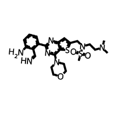 CN(C)CCN(Cc1cc2nc(-c3cccc(N)c3C=N)nc(N3CCOCC3)c2s1)S(C)(=O)=O